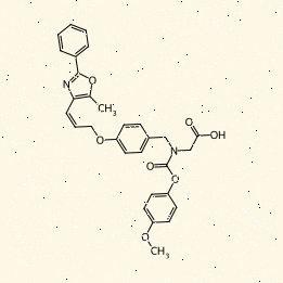 COc1ccc(OC(=O)N(CC(=O)O)Cc2ccc(OC/C=C\c3nc(-c4ccccc4)oc3C)cc2)cc1